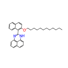 CCCCCCCCCCCCOc1ccc2ccccc2c1C1=Nc2cccc3cccc(c23)N1